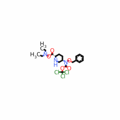 CCN(CC)OC(=O)[C@@H]1CC[C@@H](N(OCc2ccccc2)C(=O)OC(Cl)(Cl)Cl)CN1